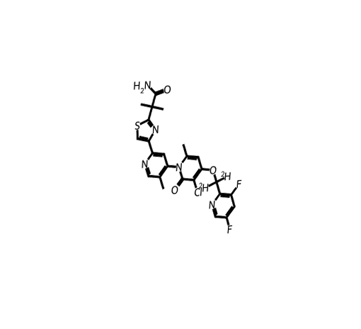 [2H]C([2H])(Oc1cc(C)n(-c2cc(-c3csc(C(C)(C)C(N)=O)n3)ncc2C)c(=O)c1Cl)c1ncc(F)cc1F